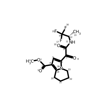 COC(=O)c1cc(C(=O)C(=O)N[C@@H](C)C(F)(F)F)n2c1CCCC2